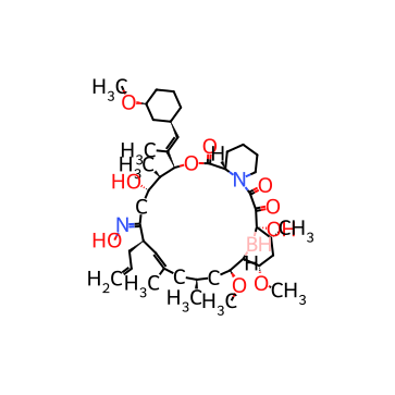 C=CC[C@@H]1/C=C(\C)C[C@H](C)C[C@H](OC)[C@H]2B[C@@](O)(C(=O)C(=O)N3CCCC[C@H]3C(=O)O[C@H](/C(C)=C/[C@@H]3CCC[C@H](OC)C3)[C@H](C)[C@@H](O)C/C1=N/O)[C@H](C)C[C@@H]2OC